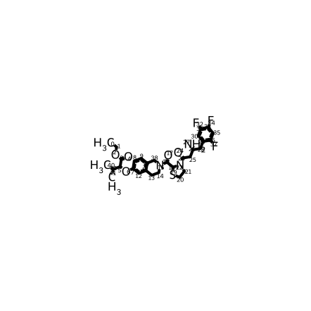 CCOC(=O)C(Oc1ccc2c(c1)CCN(C(=O)C1SCCN1C(=O)CC(N)Cc1cc(F)c(F)cc1F)C2)C(C)C